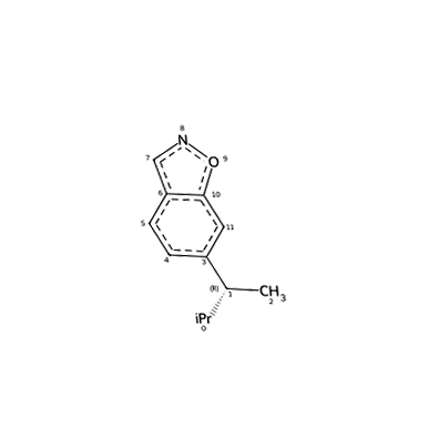 CC(C)[C@@H](C)c1ccc2cnoc2c1